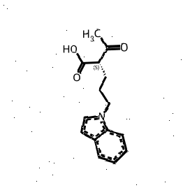 CC(=O)[C@H](CCCn1ccc2ccccc21)C(=O)O